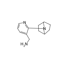 NCc1cccnc1N1CC2CCC(CC2)C1